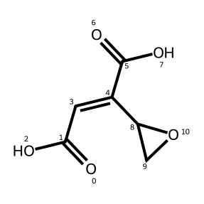 O=C(O)/C=C(/C(=O)O)C1CO1